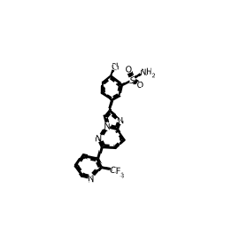 NS(=O)(=O)c1cc(-c2cn3nc(-c4cccnc4C(F)(F)F)ccc3n2)ccc1Cl